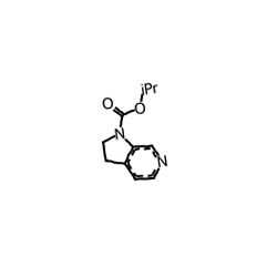 CC(C)OC(=O)N1CCc2ccncc21